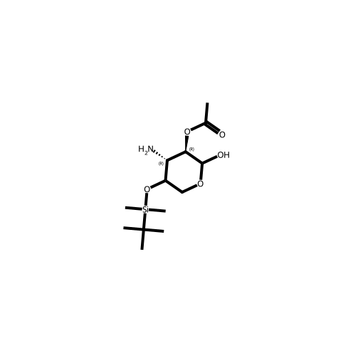 CC(=O)O[C@H]1C(O)OCC(O[Si](C)(C)C(C)(C)C)[C@@H]1N